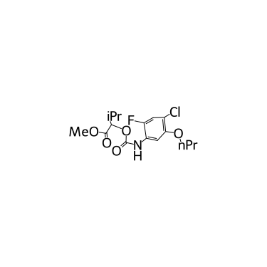 CCCOc1cc(NC(=O)OC(C(=O)OC)C(C)C)c(F)cc1Cl